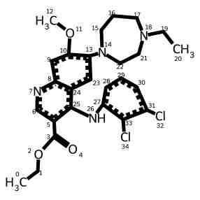 CCOC(=O)c1cnc2cc(OC)c(N3CCCN(CC)CC3)cc2c1Nc1cccc(Cl)c1Cl